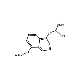 CCCCCCCCCCC(O)Oc1cccc2c(OCCCCCC)cccc12